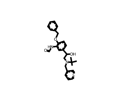 CC(C)(C)N(Cc1ccccc1)CC(O)c1ccc(OCc2ccccc2)c(NC=O)c1